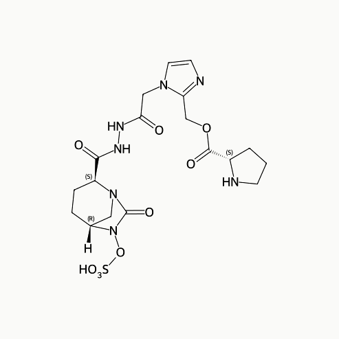 O=C(Cn1ccnc1COC(=O)[C@@H]1CCCN1)NNC(=O)[C@@H]1CC[C@@H]2CN1C(=O)N2OS(=O)(=O)O